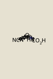 CC(/C=N/OCC(=O)N1CCN(c2ccc(C#N)cn2)CC1C)NC(=O)O